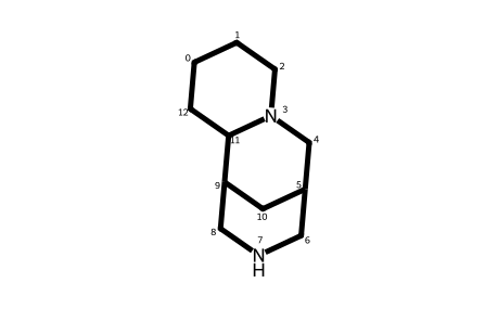 C1CCN2CC3CNCC(C3)C2C1